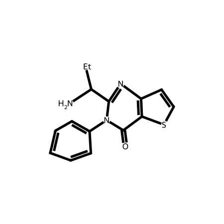 CCC(N)c1nc2ccsc2c(=O)n1-c1ccccc1